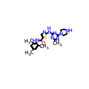 Cc1cc(C)c(NC(=O)c2cnc(Nc3nc(C)nc(N4CCNCC4)n3)s2)c(C)c1